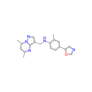 Cc1cc(C)n2ncc(CNc3ccc(-c4cnco4)cc3C)c2n1